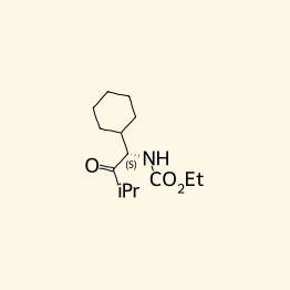 CCOC(=O)N[C@H](C(=O)C(C)C)C1CCCCC1